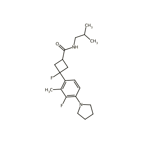 Cc1c(C2(F)CC(C(=O)NCC(C)C)C2)ccc(N2CCCC2)c1F